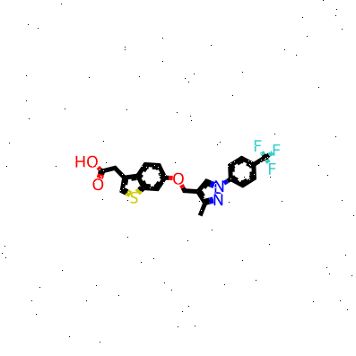 Cc1nn(-c2ccc(C(F)(F)F)cc2)cc1COc1ccc2c(CC(=O)O)csc2c1